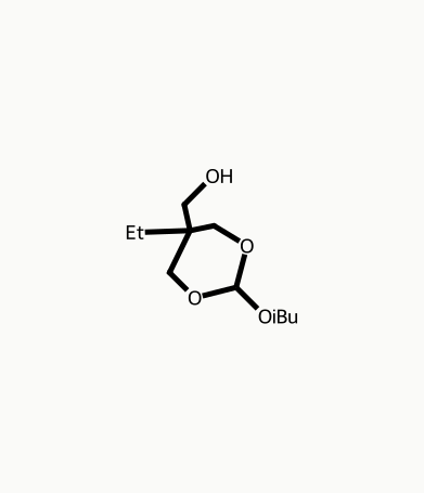 CCC1(CO)COC(OCC(C)C)OC1